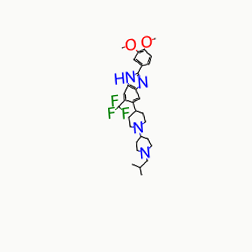 COc1ccc(-c2nc3cc(C4CCN(C5CCN(CC(C)C)CC5)CC4)c(C(F)(F)F)cc3[nH]2)cc1OC